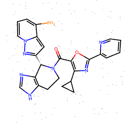 O=C(c1oc(-c2ccccn2)nc1C1CC1)N1CCc2[nH]cnc2[C@@H]1c1cc2c(P)cccn2n1